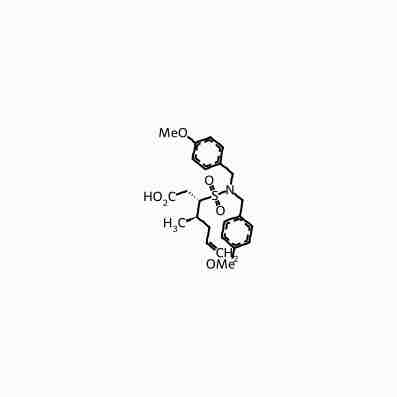 C=CC[C@@H](C)[C@H](CC(=O)O)S(=O)(=O)N(Cc1ccc(OC)cc1)Cc1ccc(OC)cc1